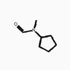 CN(C=O)C1CCCC1